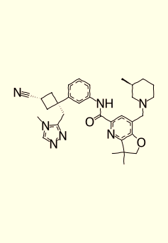 C[C@H]1CCCN(Cc2cc(C(=O)Nc3cccc([C@]4(Cc5nncn5C)C[C@@H](C#N)C4)c3)nc3c2OCC3(C)C)C1